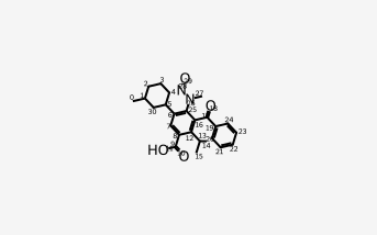 CC1CCCC(c2cc(C(=O)O)c(C(C)C)c(C(=O)c3ccccc3)c2N(C)N=O)C1